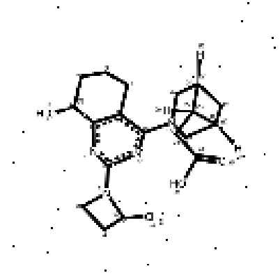 C[C@H]1CCCc2c1nc(N1CC[C@@H]1C)nc2N1C[C@H]2C[C@@H](C1)[C@H]2CC(=O)O